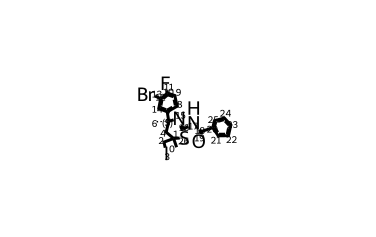 CC1(CI)C[C@@](C)(c2ccc(F)c(Br)c2)N=C(NC(=O)c2ccccc2)S1